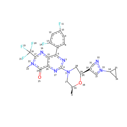 C[C@H]1CN(c2nc(-c3ccc(F)cc3F)c3nc(C(F)(F)F)n(C)c(=O)c3n2)C[C@@H](c2cnn(C3CC3)c2)O1